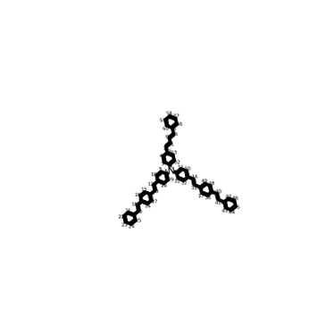 C(/C=C/c1ccc(N(c2ccc(/C=C/c3ccc(/C=C/c4ccccc4)cc3)cc2)c2ccc(/C=C/c3ccc(/C=C/c4ccccc4)cc3)cc2)cc1)=C\c1ccccc1